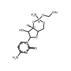 B[PH]1(OCOC(C)=O)OCC2OC(n3ccc(N)nc3=O)C(O)[C@@H]2O1